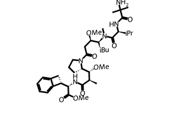 CC[C@H](C)[C@@H]([C@@H](CC(=O)N1CCC[C@H]1[C@H](OC)[C@@H](C)C(=O)N[C@H](C(=O)OC)[C@H]1Cc2ccccc21)OC)N(C)C(=O)[C@@H](NC(=O)C(C)(C)N)C(C)C